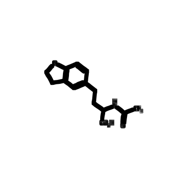 O=C(O)C(CCc1ccc2c(c1)CCO2)NC(=O)C(F)(F)F